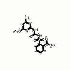 COc1nc(C)nc(NC(=O)NS(=O)(=O)c2ccccc2C(=O)OCC(C)C)n1